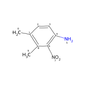 [CH2]c1ccc(N)c([N+](=O)[O-])c1C